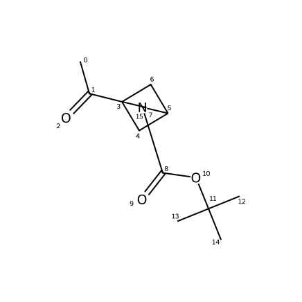 CC(=O)C12CC(C1)N(C(=O)OC(C)(C)C)C2